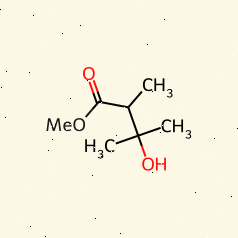 COC(=O)C(C)C(C)(C)O